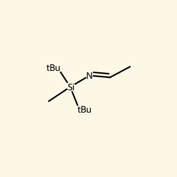 CC=N[Si](C)(C(C)(C)C)C(C)(C)C